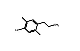 Cc1cc(CCN)c(C)cc1O